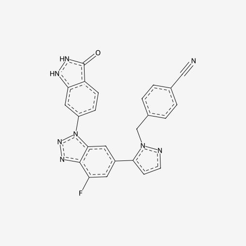 N#Cc1ccc(Cn2nccc2-c2cc(F)c3nnn(-c4ccc5c(=O)[nH][nH]c5c4)c3c2)cc1